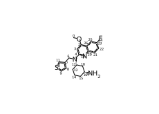 COc1cc(N(Cc2ccsc2)[C@H]2CCC[C@H](N)C2)nc2ccc(F)cc12